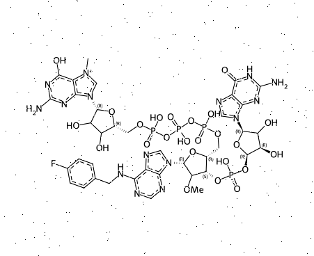 COC1[C@@H](OP(=O)(O)O[C@H]2O[C@@H](n3cnc4c(=O)[nH]c(N)nc43)C(O)[C@H]2O)[C@@H](COP(=O)(O)OP(=O)(O)OP(=O)(O)OC[C@H]2O[C@@H](n3c[n+](C)c4c(O)nc(N)nc43)C(O)C2O)O[C@H]1n1cnc2c(NCc3ccc(F)cc3)ncnc21